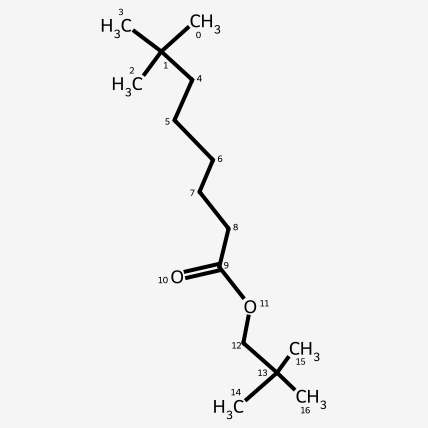 CC(C)(C)CCCCCC(=O)OCC(C)(C)C